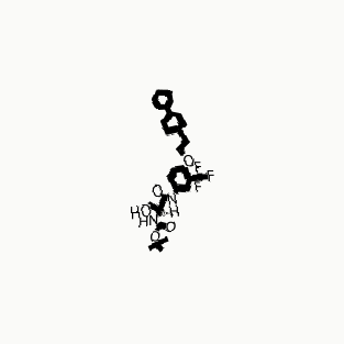 CC(C)(C)OC(=O)N[C@@](C)(CO)C(=O)Nc1ccc(OCCc2ccc(-c3ccccc3)cc2)c(C(F)(F)F)c1